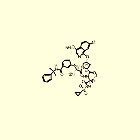 COc1cnc(O[C@@H]2C[C@@H](C(=O)N[C@]3(C(=O)NS(=O)(=O)C4CC4)C[C@H]3I)N(C(=O)[C@@H](Nc3cccc(C(=O)NC(C)(C)c4ccccc4)c3)C(C)(C)C)C2)c2cc(Cl)ccc12